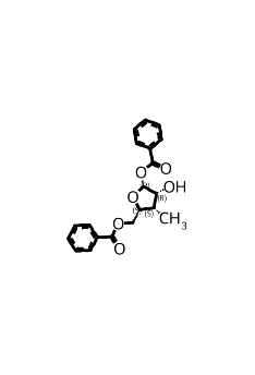 C[C@H]1[C@@H](O)[C@@H](OC(=O)c2ccccc2)O[C@@H]1COC(=O)c1ccccc1